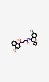 COc1ccc(C(O)CCC(=O)NC2CC3(CCC3)Oc3ccc(Cl)cc32)c2ccccc12